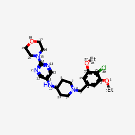 CCOc1cc(CN2CCC(Nc3cnc(N4CCOCC4)nc3)CC2)cc(OCC)c1Cl